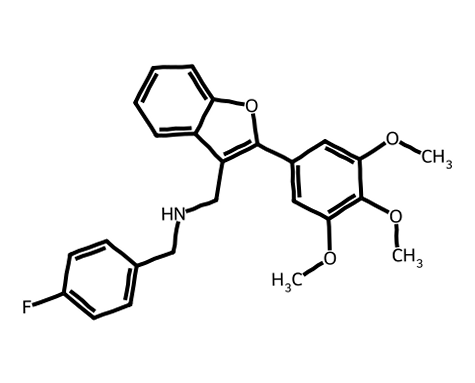 COc1cc(-c2oc3ccccc3c2CNCc2ccc(F)cc2)cc(OC)c1OC